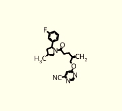 C=C(CCC(=O)N1CC(C)CC1c1cccc(F)c1)COc1cc(C#N)ncn1